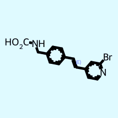 O=C(O)NCc1ccc(/C=C/c2ccnc(Br)c2)cc1